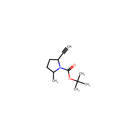 C#CC1CCC(C)N1C(=O)OC(C)(C)C